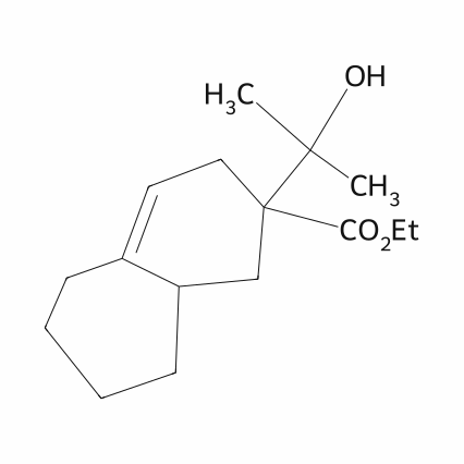 CCOC(=O)C1(C(C)(C)O)CC=C2CCCCC2C1